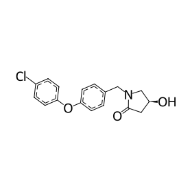 O=C1C[C@H](O)CN1Cc1ccc(Oc2ccc(Cl)cc2)cc1